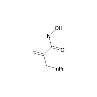 C=C(CCCC)C(=O)[N]O